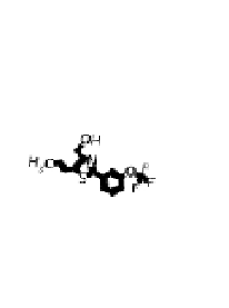 C/C=C/c1sc(-c2cccc(OC(F)(F)F)c2)nc1CO